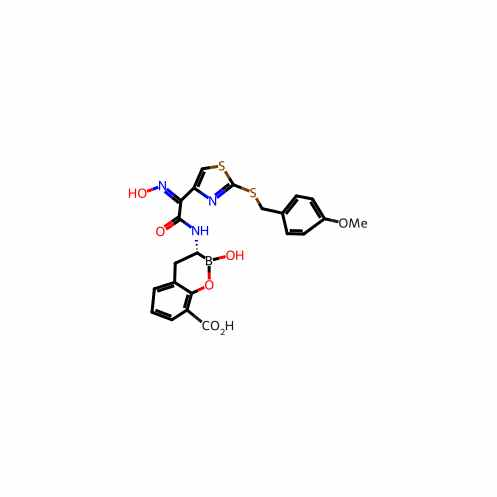 COc1ccc(CSc2nc(/C(=N/O)C(=O)N[C@H]3Cc4cccc(C(=O)O)c4OB3O)cs2)cc1